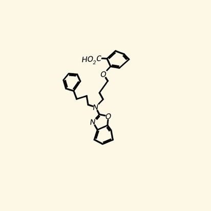 O=C(O)c1ccccc1OCCCN(CCCc1ccccc1)c1nc2ccccc2o1